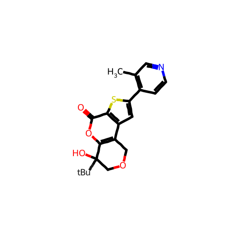 Cc1cnccc1-c1cc2c3c(oc(=O)c2s1)C(O)(C(C)(C)C)COC3